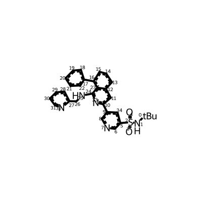 CC(C)(C)NS(=O)(=O)c1cncc(-c2cc3cccc(-c4ccccc4)c3c(NCc3ccccn3)n2)c1